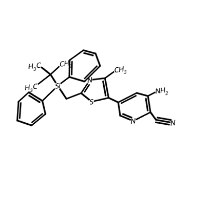 Cc1nc(C[Si](c2ccccc2)(c2ccccc2)C(C)(C)C)sc1-c1cnc(C#N)c(N)c1